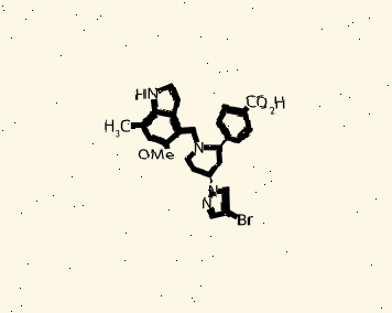 COc1cc(C)c2[nH]ccc2c1CN1CC[C@@H](n2cc(Br)cn2)C[C@@H]1c1ccc(C(=O)O)cc1